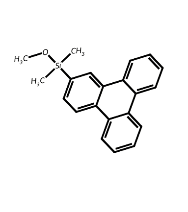 CO[Si](C)(C)c1ccc2c3ccccc3c3ccccc3c2c1